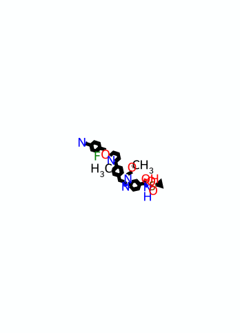 COCCn1c(Cc2ccc(-c3cccc(OCc4ccc(C#N)cc4F)n3)c(C)c2)nc2ccc(C(O)NS(=O)(=O)C3CC3)cc21